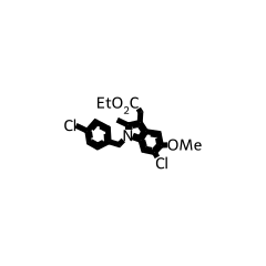 CCOC(=O)Cc1c(C)n(Cc2ccc(Cl)cc2)c2cc(Cl)c(OC)cc12